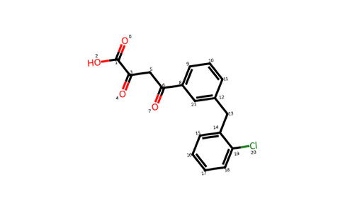 O=C(O)C(=O)CC(=O)c1cccc(Cc2ccccc2Cl)c1